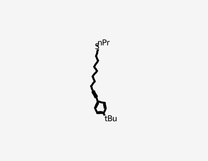 CCCSCCCCCCCCC#Cc1ccc(C(C)(C)C)cc1